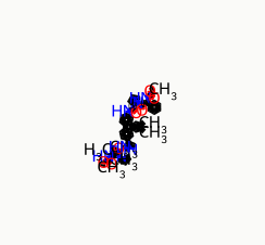 CCCC1(CCC)c2cc(NC(=O)[C@@H]3CCCN3C(=O)[C@H](NC(=O)OC)c3ccccc3)ccc2-c2ccc(-c3cnc([C@@H]4CCCN4C(=O)C(C)(NC(=O)OC)C(C)C)[nH]3)cc21